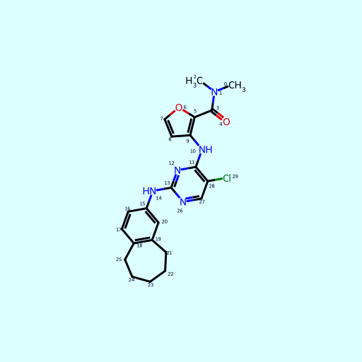 CN(C)C(=O)c1occc1Nc1nc(Nc2ccc3c(c2)CCCCC3)ncc1Cl